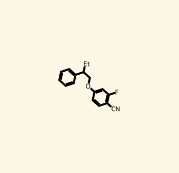 CCC(COc1ccc(C#N)c(F)c1)c1ccccc1